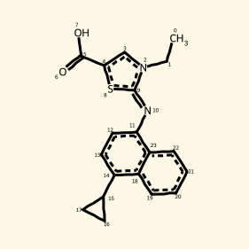 CCn1cc(C(=O)O)s/c1=N\c1ccc(C2CC2)c2ccccc12